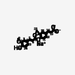 COc1cc(C=CC(=O)Oc2ccc(C=CC(=O)[O-])cc2OC)ccc1O.[Na+]